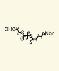 CCCCCCCCCCCCC(=S)SC(C)(C)C(=O)OCCC=O